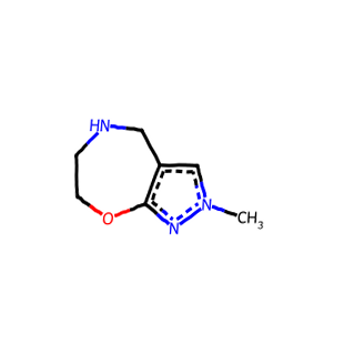 Cn1cc2c(n1)OCCNC2